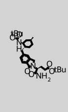 C[C@H]1CC[C@H](Cc2ccc3c(c2)CN([C@@H](CCC(=O)OC(C)(C)C)C(N)=O)C3=O)[C@@H](NC(=O)OC(C)(C)C)C1